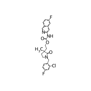 CC1(CCOC(=O)Nc2cc3cc(F)ccc3cn2)CCN(Cc2ccc(F)cc2Cl)C1=O